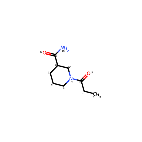 CCC(=O)N1CCCC(C(N)=O)C1